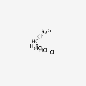 Cl.Cl.Cl.P.[Cl-].[Cl-].[Ra+2]